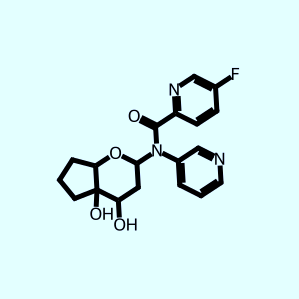 O=C(c1ccc(F)cn1)N(c1cccnc1)C1CC(O)C2(O)CCCC2O1